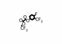 O=C(OCC(F)(F)F)C(=O)Oc1ccc(F)c(C(F)(F)F)c1